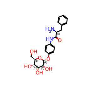 N[C@@H](Cc1ccccc1)C(=O)Nc1ccc(O[C@H]2O[C@H](CO)[C@@H](O)[C@H](O)[C@@H]2O)cc1